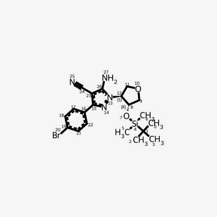 CC(C)(C)[Si](C)(C)O[C@H]1COC[C@@H]1n1nc(-c2ccc(Br)cc2)c(C#N)c1N